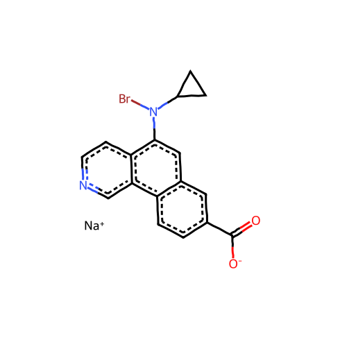 O=C([O-])c1ccc2c(c1)cc(N(Br)C1CC1)c1ccncc12.[Na+]